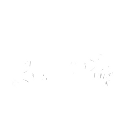 CS(=O)(=O)NC(=O)c1cc(C2CC2)c(COCC2CC3(CCN(Cc4cc(Cl)cc(Cl)c4)CC3)C2)cc1F